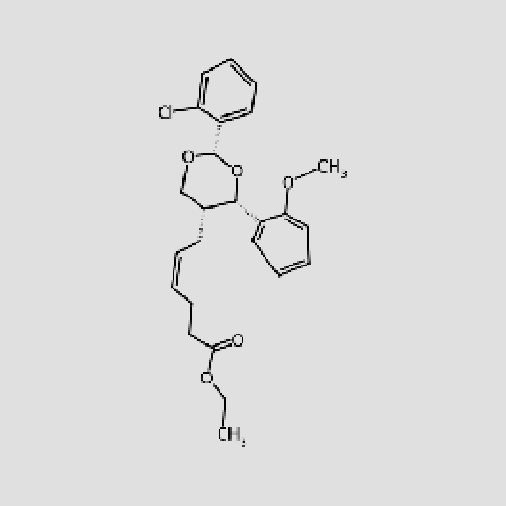 CCOC(=O)CC/C=C\C[C@@H]1CO[C@H](c2ccccc2Cl)O[C@@H]1c1ccccc1OC